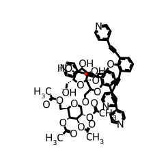 CC(=O)OC[C@H]1O[C@H](OCC(Oc2c(C#Cc3ccncc3)cccc2C#Cc2ccncc2)[C@@]2(OCCOc3c(C#Cc4ccncc4)cccc3C#Cc3ccncc3)O[C@H](CO)[C@@H](O)[C@H](O)[C@H]2O)[C@H](OC(C)=O)[C@@H](OC(C)=O)[C@@H]1OC(C)=O